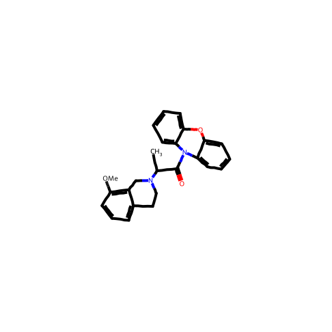 COc1cccc2c1CN(C(C)C(=O)N1c3ccccc3Oc3ccccc31)CC2